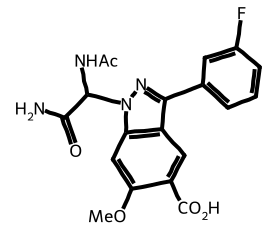 COc1cc2c(cc1C(=O)O)c(-c1cccc(F)c1)nn2C(NC(C)=O)C(N)=O